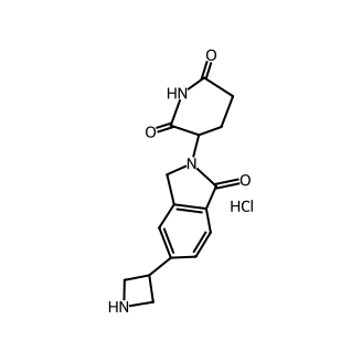 Cl.O=C1CCC(N2Cc3cc(C4CNC4)ccc3C2=O)C(=O)N1